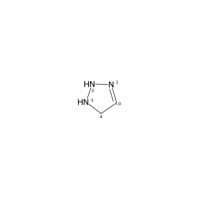 [C]1=NNNC1